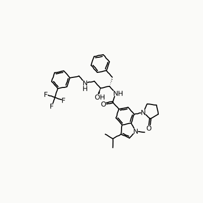 CC(C)c1cn(C)c2c(N3CCCC3=O)cc(C(=O)N[C@@H](Cc3ccccc3)[C@@H](O)CNCc3cccc(C(F)(F)F)c3)cc12